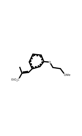 CCOC(=O)C(C)=Cc1cccc(OCCOC)c1